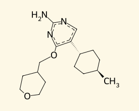 C[C@H]1CC[C@H](c2cnc(N)nc2OCC2CCOCC2)CC1